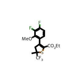 CCOC(=O)C1=C(c2ccc(F)c(F)c2OC)CC(C)(C(F)(F)F)S1